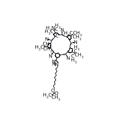 C=C(C)C(=O)OCCCCCCCCCCCn1cc(-c2cc3cc(c2)/C(C#N)=C/c2cc(cc(C(C)(C)C)c2)/C(C#N)=C/c2cc(cc(C(C)(C)N)c2)/C(C#N)=C/c2cc(cc(C(C)(C)C)c2)/C(C#N)=C/c2cc(cc(C(C)(C)C)c2)/C(C#N)=C/3)nn1